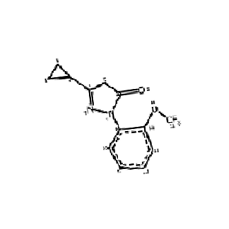 O=C1CC(C2CC2)=NN1c1ccccc1OC(F)(F)F